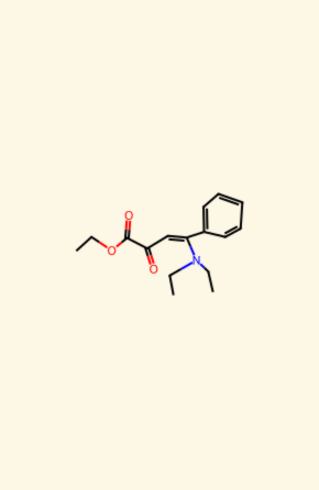 CCOC(=O)C(=O)/C=C(/c1ccccc1)N(CC)CC